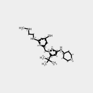 CNCCNc1cc(S)cc(Cn2nc(NC3CCOCC3)cc2C(C)(C)C)n1